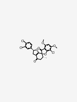 COc1cc(OC)c2c(c1Cl)O[C@]1(C2=O)C2=C(C[C@@H](c3ccc(Cl)c(Cl)c3)O2)C(=O)C[C@H]1C